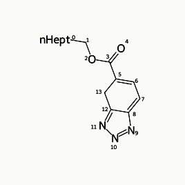 CCCCCCCCOC(=O)C1=CC=C2N=NN=C2C1